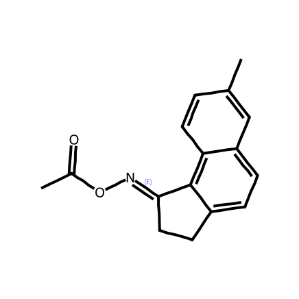 CC(=O)O/N=C1\CCc2ccc3cc(C)ccc3c21